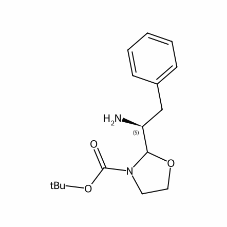 CC(C)(C)OC(=O)N1CCOC1[C@@H](N)Cc1ccccc1